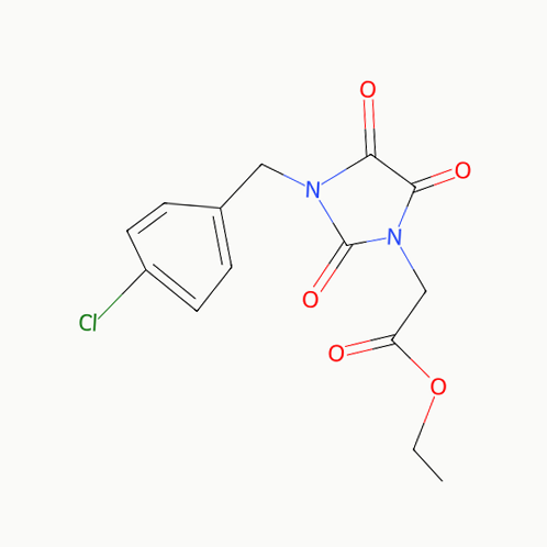 CCOC(=O)CN1C(=O)C(=O)N(Cc2ccc(Cl)cc2)C1=O